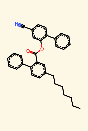 CCCCCCCc1ccc(-c2ccccc2)c(C(=O)Oc2cc(C#N)ccc2-c2ccccc2)c1